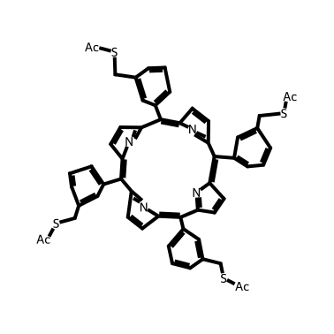 CC(=O)SCc1cccc(C2=C3C=CC(=N3)C(c3cccc(CSC(C)=O)c3)=C3C=CC(=N3)C(c3cccc(CSC(C)=O)c3)=C3C=CC(=N3)C(c3cccc(CSC(C)=O)c3)=C3C=CC2=N3)c1